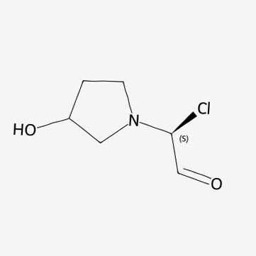 O=C[C@H](Cl)N1CCC(O)C1